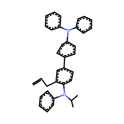 C=CCc1cc(-c2ccc(N(c3ccccc3)c3ccccc3)cc2)ccc1N(c1ccccc1)C(C)C